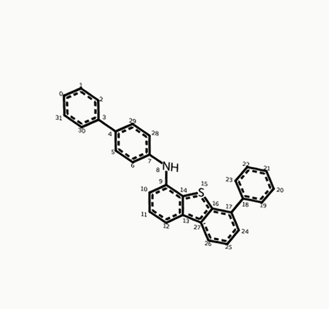 c1ccc(-c2ccc(Nc3cccc4c3sc3c(-c5ccccc5)cccc34)cc2)cc1